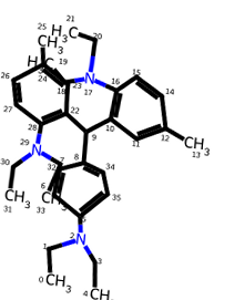 CCN(CC)c1ccc(C(c2cc(C)ccc2N(CC)CC)c2cc(C)ccc2N(CC)CC)cc1